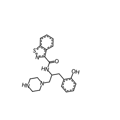 O=C(NC(Cc1ccccc1O)CN1CCNCC1)c1nsc2ccccc12